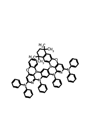 CC1(C)CCC(C)(C)c2cc3c(cc21)Oc1cc(N(c2ccccc2)c2ccccc2)nc2c1B3c1cc3c(cc1N2c1ccccc1)N(c1ccccc1)c1nc(N(c2ccccc2)c2ccccc2)cc2c1B3c1ccccc1O2